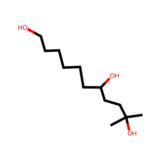 CC(C)(O)CCC(O)CCCCCCO